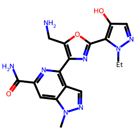 CCn1ncc(O)c1-c1nc(-c2nc(C(N)=O)cc3c2cnn3C)c(CN)o1